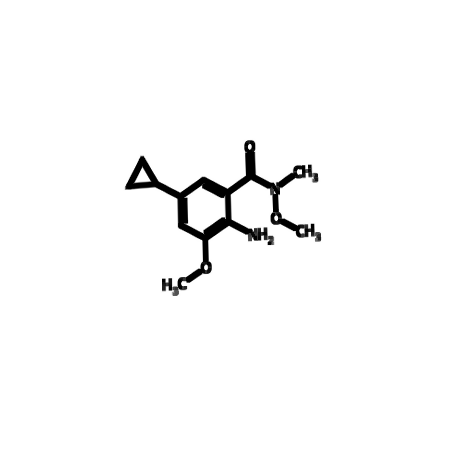 COc1cc(C2CC2)cc(C(=O)N(C)OC)c1N